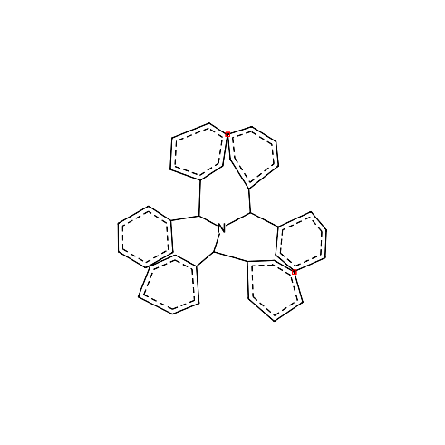 c1ccc(C(c2ccccc2)N(C(c2ccccc2)c2ccccc2)C(c2ccccc2)c2ccccc2)cc1